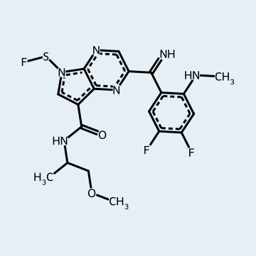 CNc1cc(F)c(F)cc1C(=N)c1cnc2c(n1)c(C(=O)NC(C)COC)cn2SF